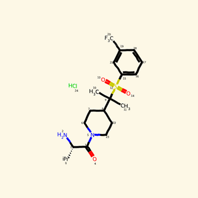 CC(C)[C@H](N)C(=O)N1CCC(C(C)(C)S(=O)(=O)c2cccc(C(F)(F)F)c2)CC1.Cl